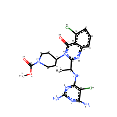 CC(Nc1nc(N)nc(N)c1Cl)c1nc2cccc(Cl)c2c(=O)n1C1CCN(C(=O)OC(C)(C)C)CC1